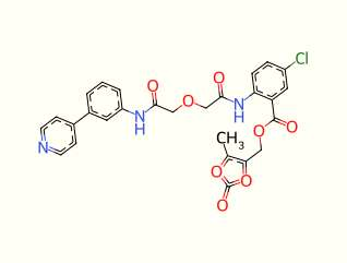 Cc1oc(=O)oc1COC(=O)c1cc(Cl)ccc1NC(=O)COCC(=O)Nc1cccc(-c2ccncc2)c1